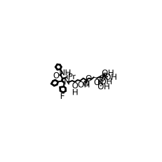 CC(C)c1c(C(=O)Nc2ccccc2)c(-c2ccccc2)c(-c2ccc(F)cc2)n1CC[C@@H](O)C[C@@H](O)CC(=O)OCC[C@@H](CON(O)O)ON(O)O